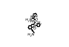 C[C@H](NC(=O)c1c(N)nn2cccnc12)c1cc2cccc(C#CCN)c2c(=O)n1-c1ccccc1